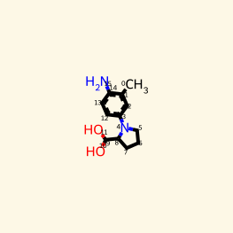 Cc1cc(N2CCCC2C(O)O)ccc1N